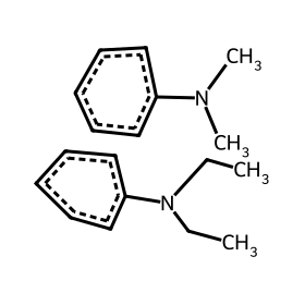 CCN(CC)c1ccccc1.CN(C)c1ccccc1